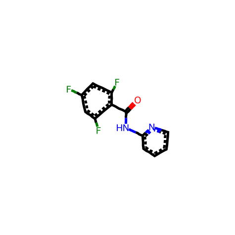 O=C(Nc1ccccn1)c1c(F)cc(F)cc1F